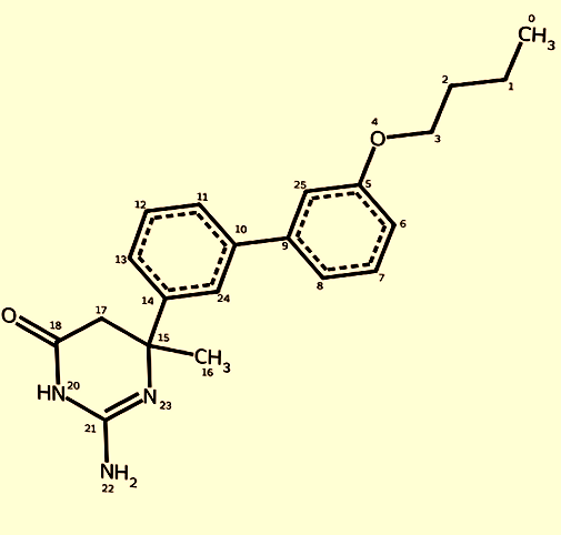 CCCCOc1cccc(-c2cccc(C3(C)CC(=O)NC(N)=N3)c2)c1